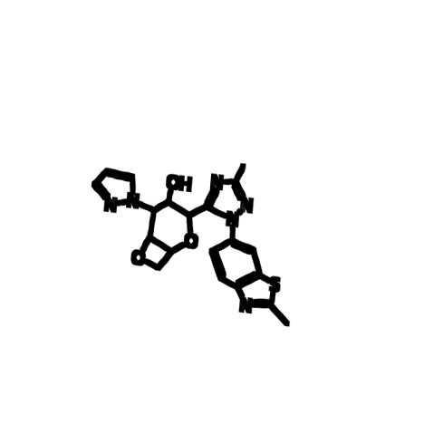 Cc1nc(C2OC3COC3C(n3cccn3)C2O)n(-c2ccc3nc(C)sc3c2)n1